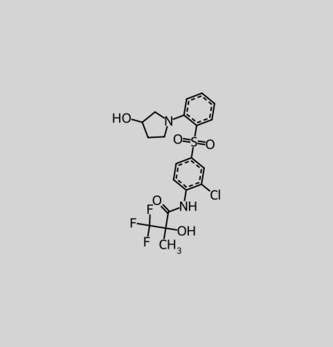 CC(O)(C(=O)Nc1ccc(S(=O)(=O)c2ccccc2N2CCC(O)C2)cc1Cl)C(F)(F)F